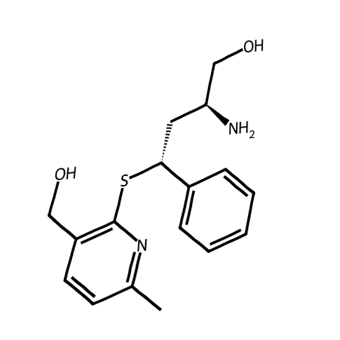 Cc1ccc(CO)c(S[C@H](C[C@H](N)CO)c2ccccc2)n1